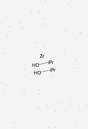 CC(C)O.CC(C)O.[Zr]